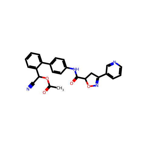 CC(=O)OC(C#N)c1ccccc1-c1ccc(NC(=O)C2CC(c3cccnc3)=NO2)cc1